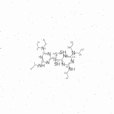 CCNc1nc(N(CC)CC)nc(S(S)(SS)c2nc(NCC)nc(N(CC)CC)n2)n1